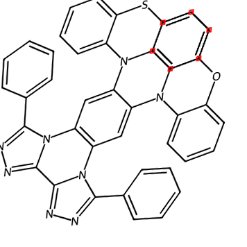 c1ccc(-c2nnc3c4nnc(-c5ccccc5)n4c4cc(N5c6ccccc6Sc6ccccc65)c(N5c6ccccc6Oc6ccccc65)cc4n23)cc1